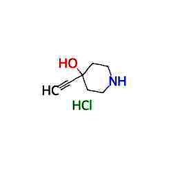 C#CC1(O)CCNCC1.Cl